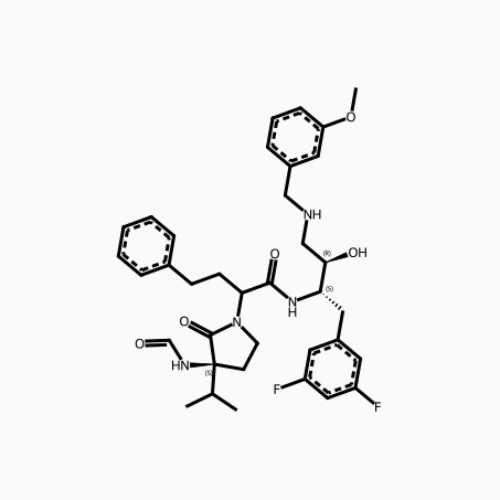 COc1cccc(CNC[C@@H](O)[C@H](Cc2cc(F)cc(F)c2)NC(=O)C(CCc2ccccc2)N2CC[C@](NC=O)(C(C)C)C2=O)c1